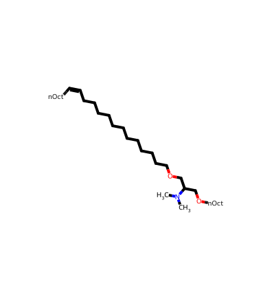 CCCCCCCC/C=C\CCCCCCCCCCCCOCC(COCCCCCCCC)N(C)C